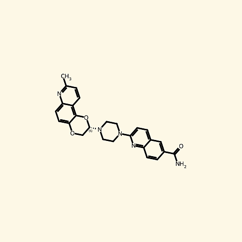 Cc1ccc2c3c(ccc2n1)OC[C@@H](N1CCN(c2ccc4cc(C(N)=O)ccc4n2)CC1)O3